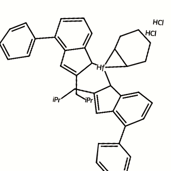 CC(C)CC1=Cc2c(-c3ccccc3)cccc2[CH]1[Hf]1([CH]2C(CC(C)C)=Cc3c(-c4ccccc4)cccc32)[CH]2CCCC[CH]21.Cl.Cl